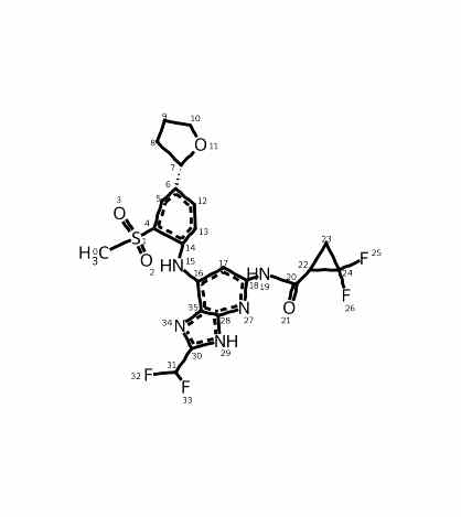 CS(=O)(=O)c1cc([C@@H]2CCCO2)ccc1Nc1cc(NC(=O)C2CC2(F)F)nc2[nH]c(C(F)F)nc12